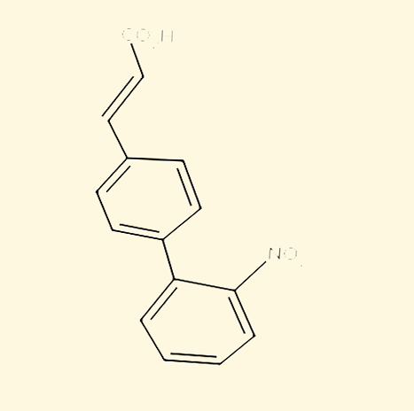 O=C(O)C=Cc1ccc(-c2ccccc2[N+](=O)[O-])cc1